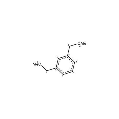 COCc1cccc(COC)c1